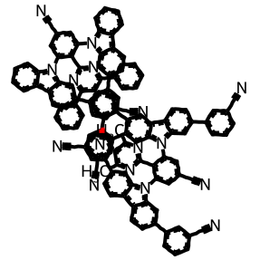 Cc1cc(C)nc(-c2c(-n3c4cc(-c5cccc(C#N)c5)ccc4c4ccc(-c5cccc(C#N)c5)cc43)cc(C#N)cc2-n2c3cc(-c4cccc(C#N)c4)ccc3c3cc(-c4cc(-c5ccc6c7ccccc7n(-c7cc(C#N)cc(-n8c9ccccc9c9ccc(-c%10ccc(C#N)cc%10)cc98)c7-c7nc(-c8ccccc8)cc(-c8ccccc8)n7)c6c5)ccc4C#N)c(-c4cccc(C#N)c4)cc32)n1